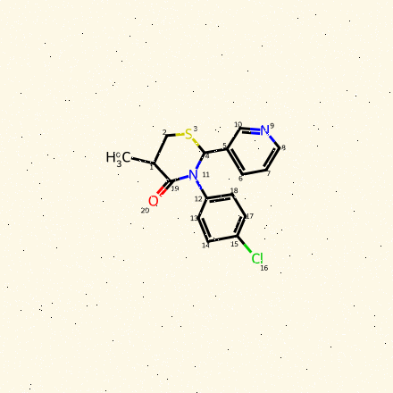 CC1CSC(c2cccnc2)N(c2ccc(Cl)cc2)C1=O